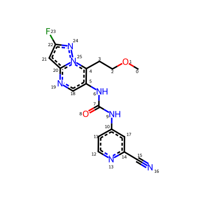 COCCc1c(NC(=O)Nc2ccnc(C#N)c2)cnc2cc(F)nn12